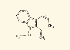 C=Cc1c(/C=C\C)c2ccccc2n1BC